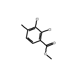 COC(=O)c1ccc(C)c(Cl)c1Cl